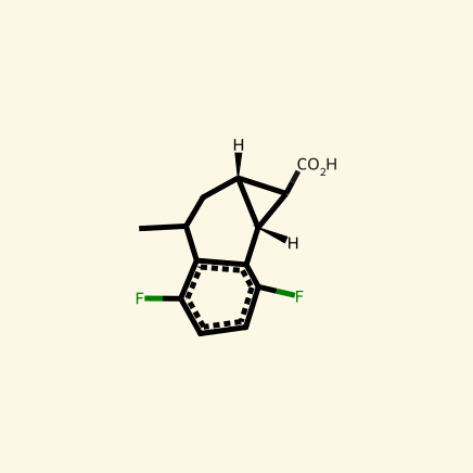 CC1C[C@@H]2C(C(=O)O)[C@@H]2c2c(F)ccc(F)c21